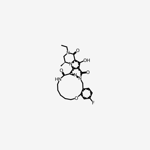 CCN1C[C@H](C)n2c(c(O)c3c(=O)n4nc(c32)C(=O)NCCCCCOc2cc(F)ccc2C4)C1=O